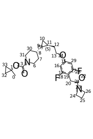 CC1(OC(=O)N2CCC([C@@H]3C[C@H]3CCOc3cc(F)c(CC(=O)N4CCC4)c(F)c3)CC2)CC1